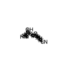 Cc1c(N2C[C@H](O)C[C@H]2COc2cccc(C(=O)N3CCN(c4ccc(C#N)cn4)CC3)c2)cn[nH]c1=O